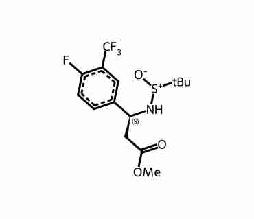 COC(=O)C[C@H](N[S+]([O-])C(C)(C)C)c1ccc(F)c(C(F)(F)F)c1